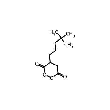 CC(C)(C)CCCC1CC(=O)OOC1=O